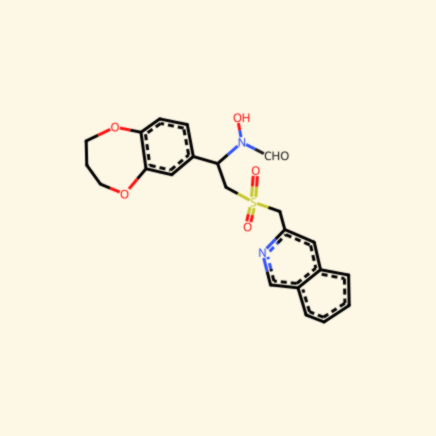 O=CN(O)C(CS(=O)(=O)Cc1cc2ccccc2cn1)c1ccc2c(c1)OCCCO2